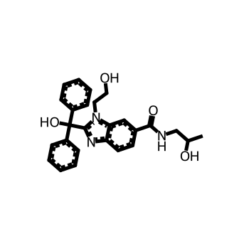 CC(O)CNC(=O)c1ccc2nc(C(O)(c3ccccc3)c3ccccc3)n(CCO)c2c1